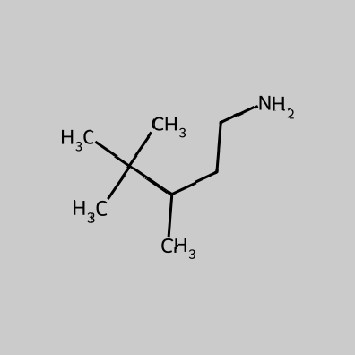 CC(CCN)C(C)(C)C